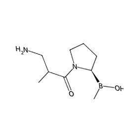 CB(O)[C@@H]1CCCN1C(=O)C(C)CN